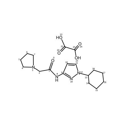 O=C(CN1CCCC1)Nc1ccn(C2CCCCC2)n1.O=C(O)C(=O)O